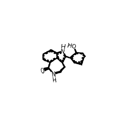 O=C1NCCc2c(-c3ccccc3O)[nH]c3cccc1c23